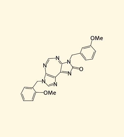 COc1cccc(Cn2c3ncnc4c(ncn4Cc4ccccc4OC)c-3nc2=O)c1